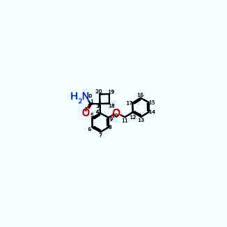 NC(=O)C1(c2ccccc2OCc2ccccc2)CCC1